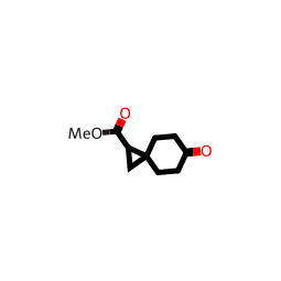 COC(=O)C1CC12CCC(=O)CC2